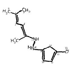 CC(C)=C/C=C(\C)NNC1=CC=C(Cl)C1